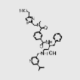 C=C(C)c1cncc(CNC[C@@H](O)[C@H](Cc2ccccc2)NC(=O)c2cccc(C(=O)N(C)Cc3nc(CO)cs3)c2)c1